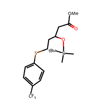 COC(=O)CC(CCSc1ccc(C(F)(F)F)cc1)O[Si](C)(C)C(C)(C)C